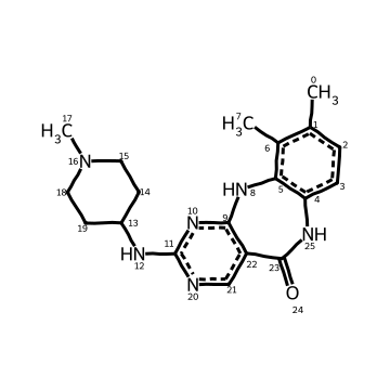 Cc1ccc2c(c1C)Nc1nc(NC3CCN(C)CC3)ncc1C(=O)N2